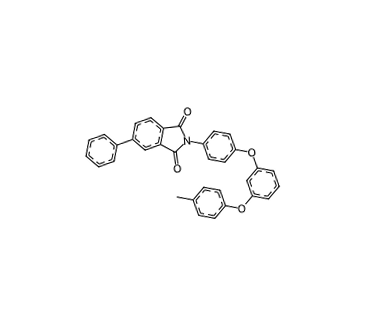 Cc1ccc(Oc2cccc(Oc3ccc(N4C(=O)c5ccc(-c6ccccc6)cc5C4=O)cc3)c2)cc1